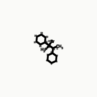 CC(C1CCCCC1)C(P)(Br)C1CCCCC1